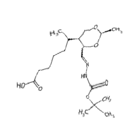 CC(CCCCC(=O)O)[C@H]1CO[C@@H](C)O[C@H]1/C=N/NC(=O)OC(C)(C)C